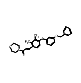 O=C(C=Cc1ccc(Sc2cccc(OCc3ccccc3)c2)c(C(F)(F)F)c1C(F)(F)F)N1CCOCC1